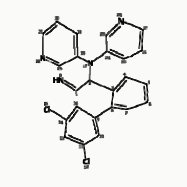 N=CC(c1ccccc1-c1cc(Cl)cc(Cl)c1)N(c1cccnc1)c1cccnc1